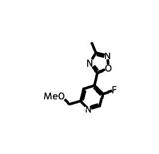 COCc1cc(-c2nc(C)no2)c(F)cn1